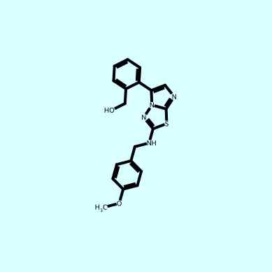 COc1ccc(CNc2nn3c(-c4ccccc4CO)cnc3s2)cc1